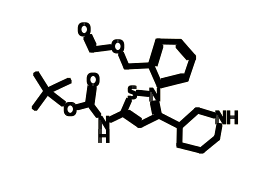 CC(C)(C)OC(=O)Nc1cc(C2CCCNC2)ns1.O=COCc1ccccc1